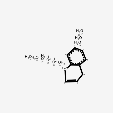 C1=COc2ccccc2C1.O.O.O.O.O.O.O.O.O